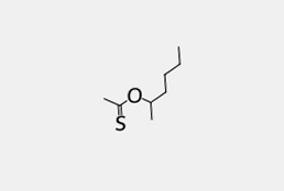 CCCCC(C)OC(C)=S